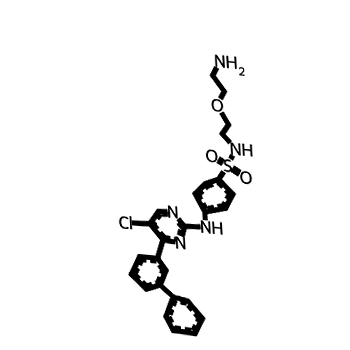 NCCOCCNS(=O)(=O)c1ccc(Nc2ncc(Cl)c(-c3cccc(-c4ccccc4)c3)n2)cc1